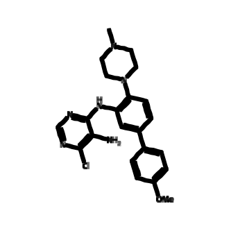 COc1ccc(-c2ccc(N3CCN(C)CC3)c(Nc3ncnc(Cl)c3N)c2)cc1